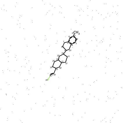 Cc1ccc2c(c1)CCC(C1CCC3CC(C=CF)CCC3C1)C2